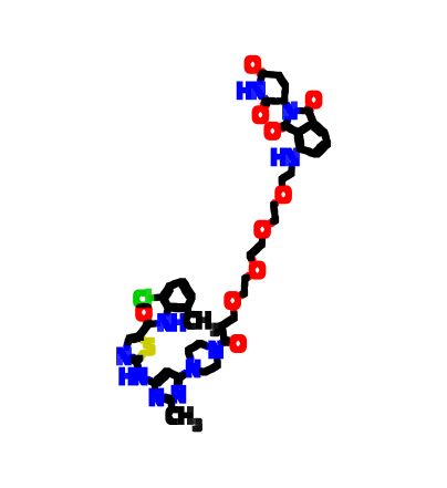 Cc1nc(Nc2ncc(C(=O)Nc3c(C)cccc3Cl)s2)cc(N2CCN(C(=O)CCOCCOCCOCCOCCNc3cccc4c3C(=O)N(C3CCC(=O)NC3=O)C4=O)CC2)n1